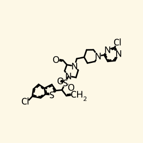 C=CC(c1cc2ccc(Cl)cc2s1)S(=O)(=O)N1CCN(CC2CCN(c3ccnc(Cl)n3)CC2)C(C=O)C1